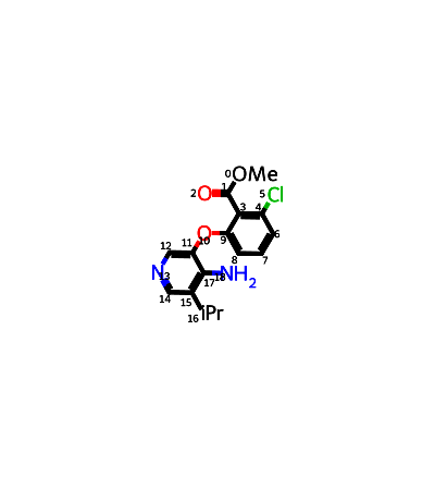 COC(=O)c1c(Cl)cccc1Oc1cncc(C(C)C)c1N